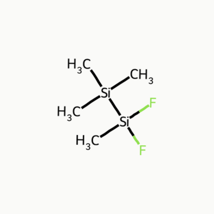 C[Si](C)(C)[Si](C)(F)F